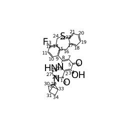 O=C1c2c(O)c(=O)cc(-c3ccc(F)c4c3Cc3ccccc3SC4)n2NCN1C1CC2CC1C2